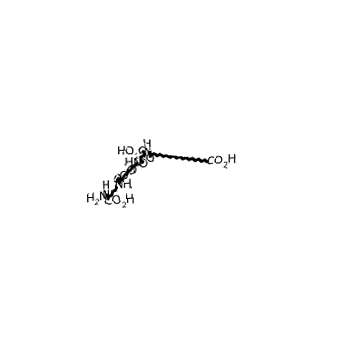 NNC(CCCCNC(=O)COCCOCCNC(=O)CCC(NC(=O)CCCCCCCCCCCCCCCCCCC(=O)O)C(=O)O)C(=O)O